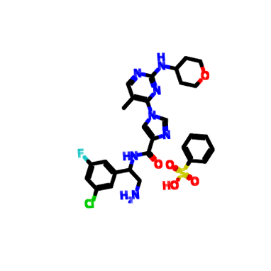 Cc1cnc(NC2CCOCC2)nc1-n1cnc(C(=O)NC(CN)c2cc(F)cc(Cl)c2)c1.O=S(=O)(O)c1ccccc1